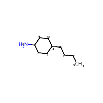 CCCC[C@H]1CC[C@@H](N)CC1